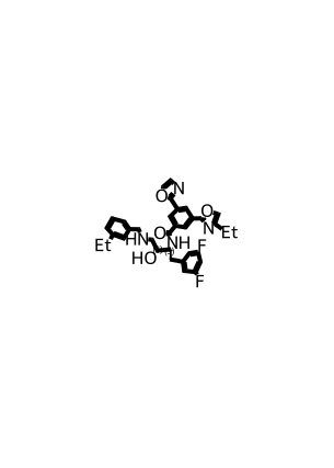 CCc1cccc(CNC[C@H](O)[C@H](Cc2cc(F)cc(F)c2)NC(=O)c2cc(-c3ncco3)cc(-c3nc(CC)co3)c2)c1